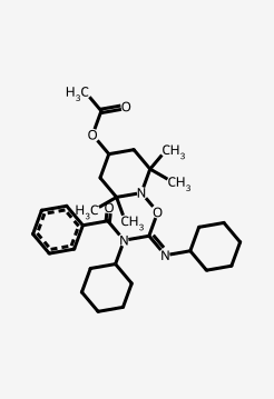 CC(=O)OC1CC(C)(C)N(OC(=NC2CCCCC2)N(C(=O)c2ccccc2)C2CCCCC2)C(C)(C)C1